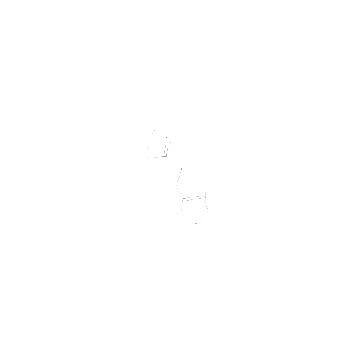 C1COC(CCC2=NCCO2)=N1